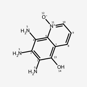 Nc1c(N)c(N)c2c(ccc[n+]2[O-])c1O